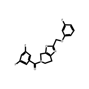 O=C(c1cc(F)cc(F)c1)N1CCc2nc(COc3cccc(F)c3)oc2C1